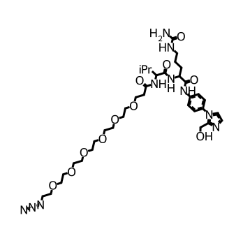 CC(C)C(NC(=O)CCOCCOCCOCCOCCOCCOCCN=[N+]=[N-])C(=O)NC(CCCNC(N)=O)C(=O)Nc1ccc(-n2ccnc2CO)cc1